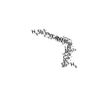 [Al].[Al].[Al].[Ga].[Ga].[Ga].[In].[In].[In].[Mn+2].[Mn+2].[Mn+2].[SbH6-3].[SbH6-3]